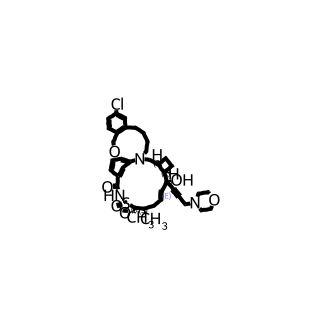 C[C@@H]1[C@@H](C)C/C=C/[C@@](O)(C#CCN2CCOCC2)[C@@H]2CC[C@H]2CN2CCCCc3cc(Cl)ccc3COc3ccc(cc32)C(=O)NS1(=O)=O